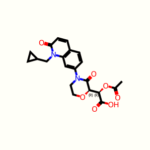 CC(=O)O[C@@H](C(=O)O)[C@H]1OCCN(c2ccc3ccc(=O)n(CC4CC4)c3c2)C1=O